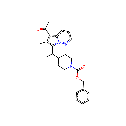 CC(=O)c1c(C)c(C(C)C2CCN(C(=O)OCc3ccccc3)CC2)n2ncccc12